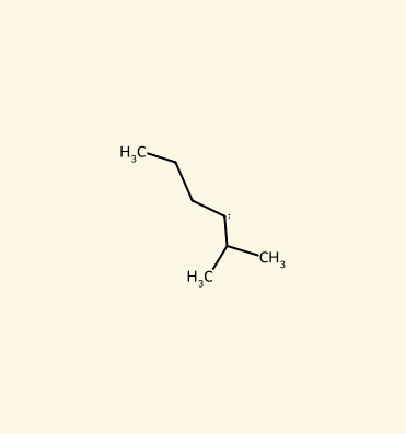 CCC[C]C(C)C